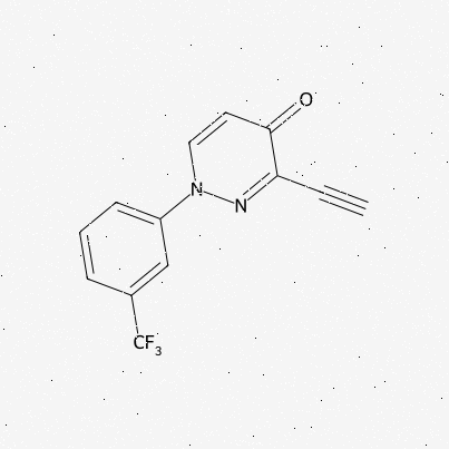 C#Cc1nn(-c2cccc(C(F)(F)F)c2)ccc1=O